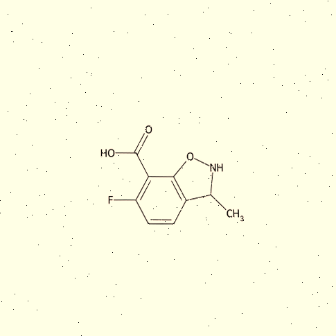 CC1NOc2c1ccc(F)c2C(=O)O